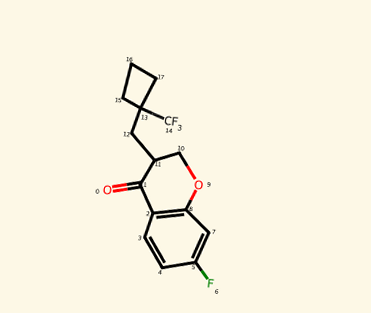 O=C1c2ccc(F)cc2OCC1CC1(C(F)(F)F)CCC1